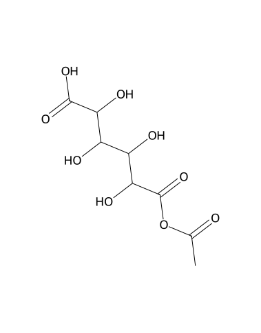 CC(=O)OC(=O)C(O)C(O)C(O)C(O)C(=O)O